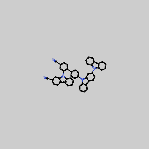 N#Cc1ccc(-c2ccc(-n3c4ccccc4c4ccc(-n5c6ccccc6c6ccccc65)cc43)cc2)c(-n2c3ccccc3c3ccc(C#N)cc32)c1